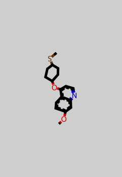 COc1ccc2c(OC3CCC(SC)CC3)ccnc2c1